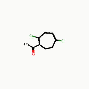 CCC(=O)C1CCC(Cl)CCC1Cl